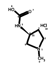 CN1CC[C@H](NC(=O)O)C1.Cl